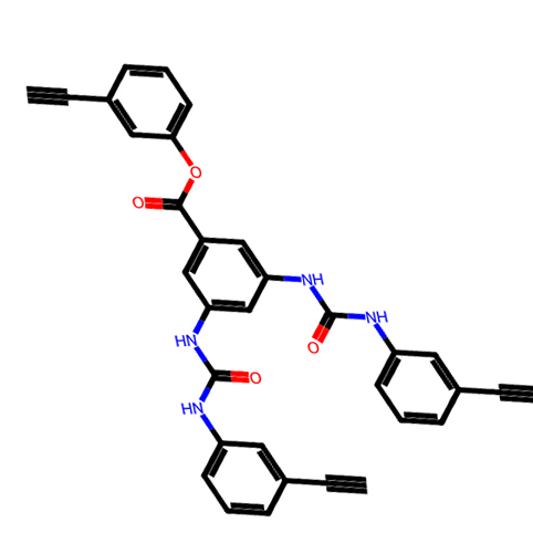 C#Cc1cccc(NC(=O)Nc2cc(NC(=O)Nc3cccc(C#C)c3)cc(C(=O)Oc3cccc(C#C)c3)c2)c1